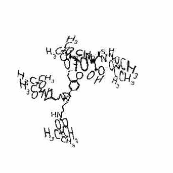 CC(C)(C)OC(=O)NCCCn1cc(-c2ccc3c(c2)CC[C@H]([C@](C)(O/N=C(\C(=O)O)c2csc(NC(=O)OC(C)(C)C)n2)C(=O)OC(C)(C)C)O3)c[n+]1CC1CN(C(=O)OC(C)(C)C)C1